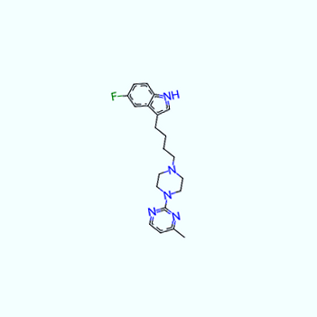 Cc1ccnc(N2CCN(CCCCc3c[nH]c4ccc(F)cc34)CC2)n1